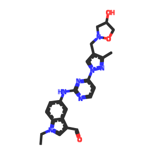 CCn1cc(C=O)c2cc(Nc3nccc(-n4cc(CN5CC(O)CO5)c(C)n4)n3)ccc21